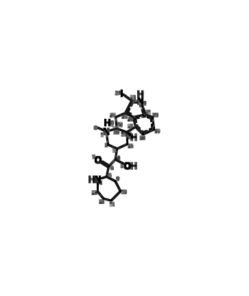 CN1CC(C(O)C(=O)C2CCCCCN2)C[C@H]2c3cccc4[nH]c(I)c(c34)C[C@@H]21